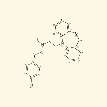 CN(CCc1ccc(Cl)cc1)CCN1c2ccccc2COc2ccccc21